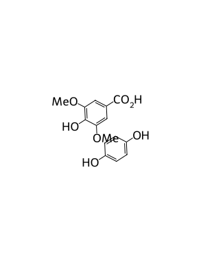 COc1cc(C(=O)O)cc(OC)c1O.Oc1ccc(O)cc1